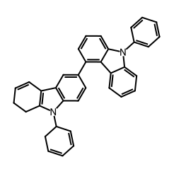 C1=CCC(n2c3c(c4cc(-c5cccc6c5c5ccccc5n6-c5ccccc5)ccc42)C=CCC3)C=C1